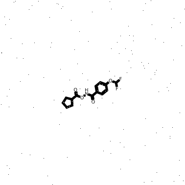 O=C(NOC(=O)C1CCCC1)c1ccc(OC(F)F)cc1